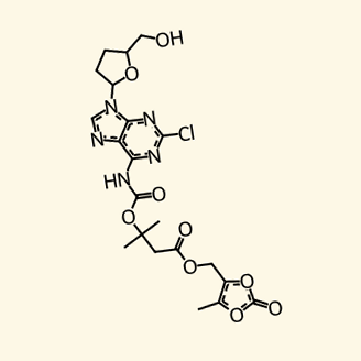 Cc1oc(=O)oc1COC(=O)CC(C)(C)OC(=O)Nc1nc(Cl)nc2c1ncn2C1CCC(CO)O1